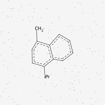 [CH2]c1ccc(C(C)C)c2ccccc12